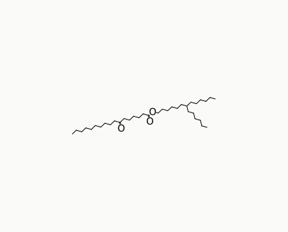 CCCCCCCCCCC(=O)CCCCCC(=O)OCCCCCCC(CCCCCC)CCCCCC